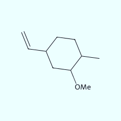 C=CC1CCC(C)C(OC)C1